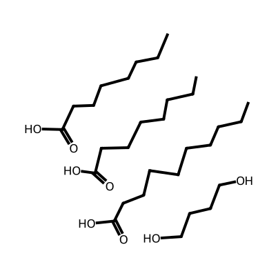 CCCCCCCC(=O)O.CCCCCCCC(=O)O.CCCCCCCCCC(=O)O.OCCCCO